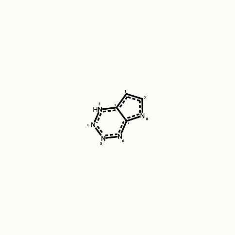 c1cc2[nH]nnnc-2n1